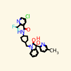 Cc1ccc(C2(O)C(=O)N(CC3CCC(NC(=O)c4cc(Cl)cnc4C(F)F)CC3)c3ccccc32)nc1